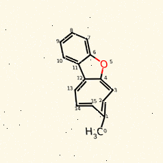 CC1=C\C=c2\oc3ccccc3\c2=C\C=C\1